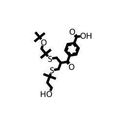 CC(C)(C)OCC(C)(C)SCC(CSC(C)(C)CCO)C(=O)c1ccc(C(=O)O)cc1